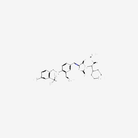 COC(=O)C(C1CCNCC1)N1C(=O)S/C(=C\c2ccc(NCc3ccc(Cl)cc3C(F)(F)F)c(C=N)c2)C1=O